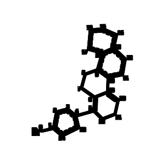 Brc1ccc(C2=C3CCc4c(ccc5ccccc45)C3=CCC2)cc1